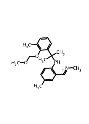 C/N=C/c1cc(C)ccc1PC(C)(C)c1cccc(C)c1OCOC